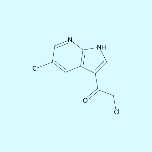 O=C(CCl)c1c[nH]c2ncc(Cl)cc12